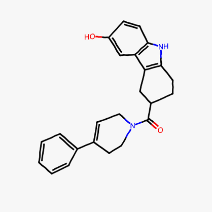 O=C(C1CCc2[nH]c3ccc(O)cc3c2C1)N1CC=C(c2ccccc2)CC1